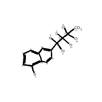 [O]c1cccc2cc(C(Cl)(Cl)C(Cl)(Cl)C(Cl)(Cl)C(Cl)(Cl)Cl)ccc12